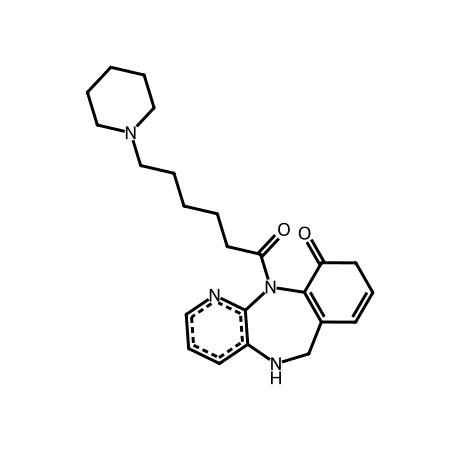 O=C1CC=CC2=C1N(C(=O)CCCCCN1CCCCC1)c1ncccc1NC2